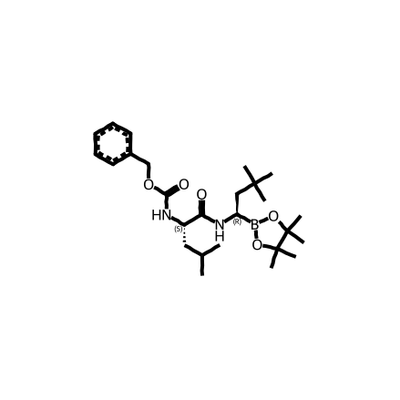 CC(C)C[C@H](NC(=O)OCc1ccccc1)C(=O)N[C@@H](CC(C)(C)C)B1OC(C)(C)C(C)(C)O1